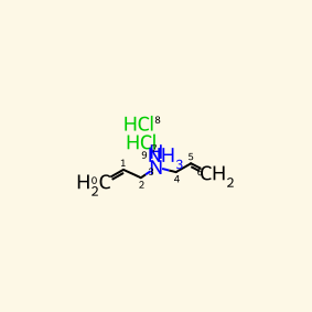 C=CCNCC=C.Cl.Cl.N